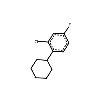 Fc1ccc(C2CC[CH]CC2)c(Cl)c1